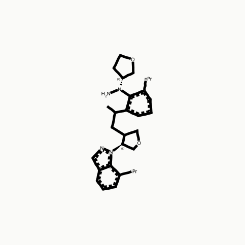 CCCc1cccc(C(C)CC2COC[C@H]2n2ncc3cccc(C(C)C)c32)c1N(N)[C@@H]1CCOC1